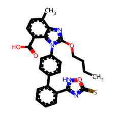 CCCCOc1nc2c(C)ccc(C(=O)O)c2n1-c1ccc(-c2ccccc2-c2nc(=S)o[nH]2)cc1